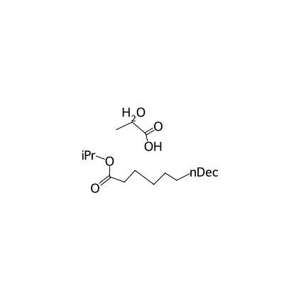 CCC(=O)O.CCCCCCCCCCCCCCCC(=O)OC(C)C.O